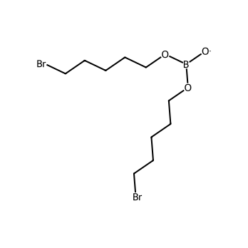 [O]B(OCCCCCBr)OCCCCCBr